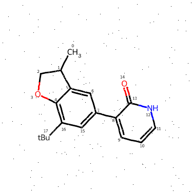 CC1COc2c1cc(-c1ccc[nH]c1=O)cc2C(C)(C)C